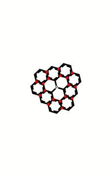 c1ccc(-c2cccc(-c3ccccc3)c2P(c2c(-c3ccccc3)cccc2-c2ccccc2)c2c(-c3ccccc3)cccc2-c2ccccc2)cc1